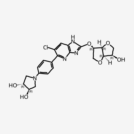 O[C@@H]1CO[C@H]2[C@@H]1OC[C@H]2Oc1nc2nc(-c3ccc(N4C[C@@H](O)[C@H](O)C4)cc3)c(Cl)cc2[nH]1